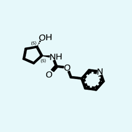 O=C(N[C@H]1CCC[C@@H]1O)OCc1cccnc1